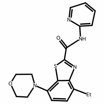 CCc1ccc(N2CCOCC2)c2sc(C(=O)Nc3ccccn3)nc12